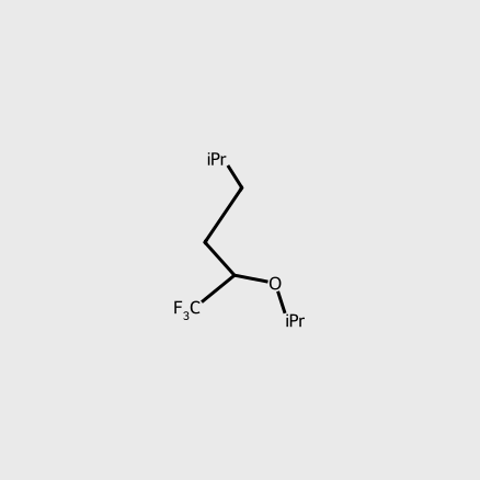 CC(C)CCC(OC(C)C)C(F)(F)F